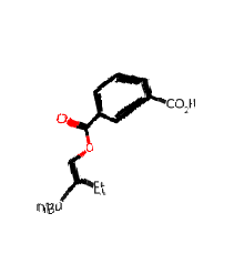 CCCCC(CC)COC(=O)c1cccc(C(=O)O)c1